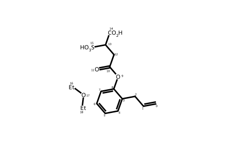 C=CCc1ccccc1OC(=O)CC(C(=O)O)S(=O)(=O)O.CCOCC